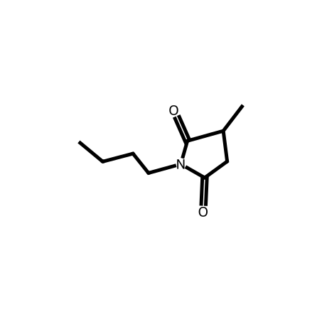 CCCCN1C(=O)CC(C)C1=O